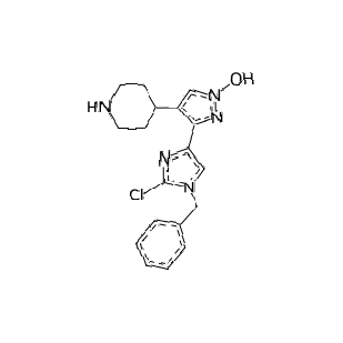 On1cc(C2CCNCC2)c(-c2cn(Cc3ccccc3)c(Cl)n2)n1